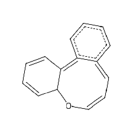 C1=C\C2=c3/cccc/c3=C/C=C\OC2C=C1